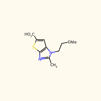 COCCn1c(C)nc2sc(C(=O)O)cc21